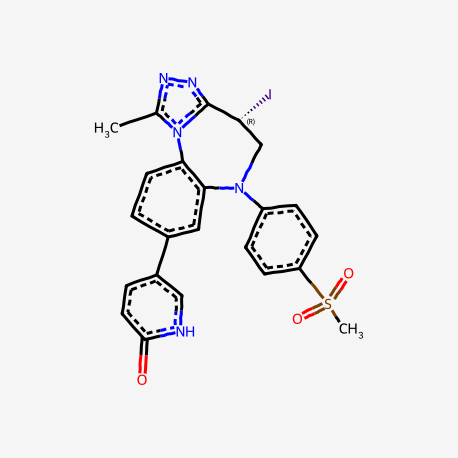 Cc1nnc2n1-c1ccc(-c3ccc(=O)[nH]c3)cc1N(c1ccc(S(C)(=O)=O)cc1)C[C@H]2I